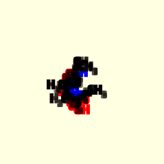 CCCC(=O)N[C@@H](CC(=O)O)C(=O)N[C@@H](C)C(=O)N[C@@H](C)C(=O)N1CCC[C@H]1C(=O)NCC(C)C